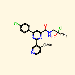 COc1ccncc1-c1nc(C(=O)NCC(C)(O)Cl)cc(-c2ccc(Cl)cc2)n1